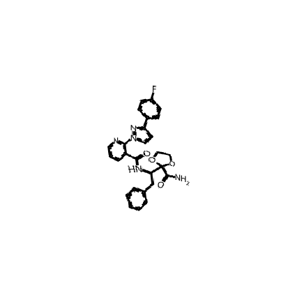 NC(=O)C1(C(Cc2ccccc2)NC(=O)c2cccnc2-n2ccc(-c3ccc(F)cc3)n2)OCCO1